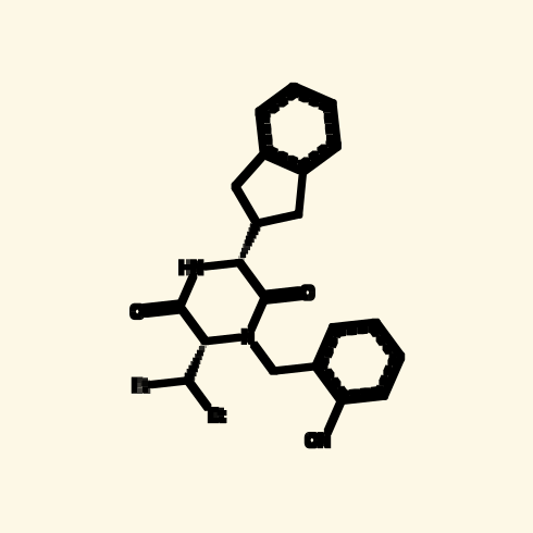 CCC(CC)[C@@H]1C(=O)N[C@H](C2Cc3ccccc3C2)C(=O)N1Cc1ccccc1N=O